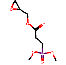 COP(=O)(CCC(=O)OCC1CO1)OC